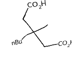 CCCCC(C)(CC(=O)O)CC(=O)O